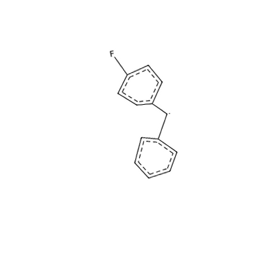 Fc1ccc([CH]c2ccccc2)cc1